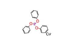 [Cu].c1ccc(OP(Oc2ccccc2)Oc2ccccc2)cc1